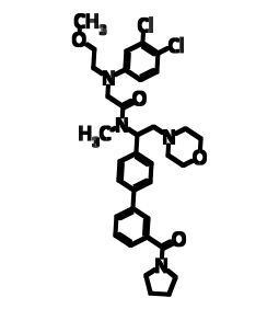 COCCN(CC(=O)N(C)C(CN1CCOCC1)c1ccc(-c2cccc(C(=O)N3CCCC3)c2)cc1)c1ccc(Cl)c(Cl)c1